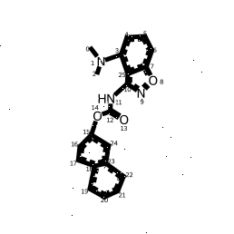 CN(C)c1cccc2onc(NC(=O)Oc3ccc4ccccc4c3)c12